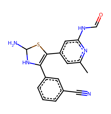 Cc1cc(C2=C(c3cccc(C#N)c3)NC(N)S2)cc(NC=O)n1